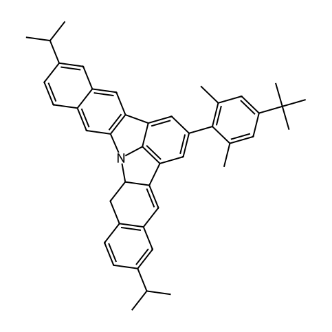 Cc1cc(C(C)(C)C)cc(C)c1-c1cc2c3c(c1)c1cc4cc(C(C)C)ccc4cc1n3C1Cc3ccc(C(C)C)cc3C=C21